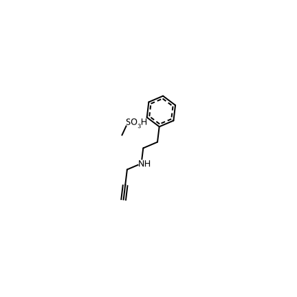 C#CCNCCc1ccccc1.CS(=O)(=O)O